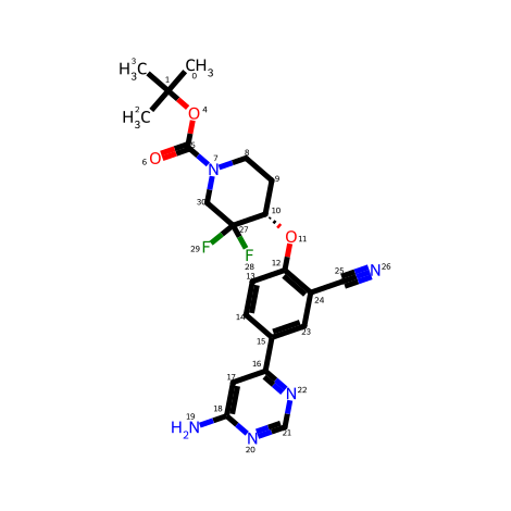 CC(C)(C)OC(=O)N1CC[C@H](Oc2ccc(-c3cc(N)ncn3)cc2C#N)C(F)(F)C1